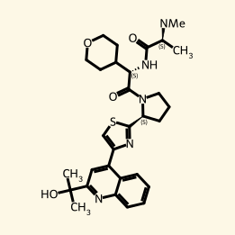 CN[C@@H](C)C(=O)N[C@H](C(=O)N1CCC[C@H]1c1nc(-c2cc(C(C)(C)O)nc3ccccc23)cs1)C1CCOCC1